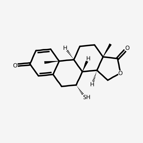 C[C@]12C=CC(=O)C=C1C[C@@H](S)[C@@H]1[C@@H]2CC[C@]2(C)C(=O)OC[C@@H]12